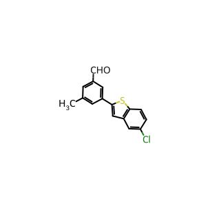 Cc1cc(C=O)cc(-c2cc3cc(Cl)ccc3s2)c1